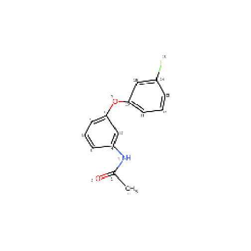 CC(=O)Nc1cccc(Oc2cccc(F)c2)c1